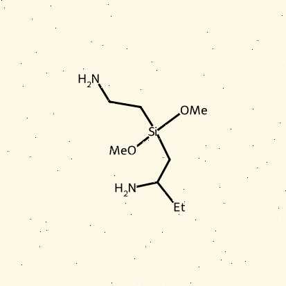 CCC(N)C[Si](CCN)(OC)OC